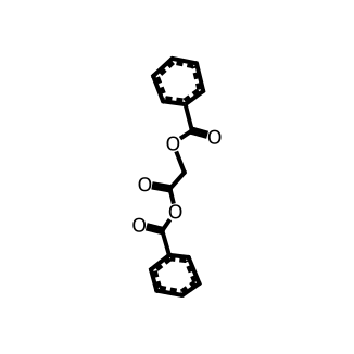 O=C(COC(=O)c1ccccc1)OC(=O)c1ccccc1